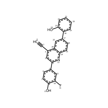 C#Cc1cc(-c2ccc(O)c(F)c2)nc2ccc(-c3ccccc3O)cc12